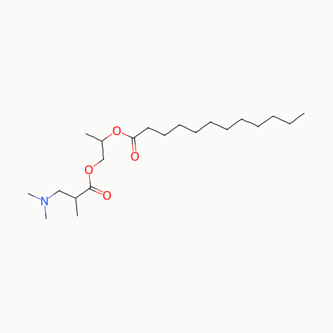 CCCCCCCCCCCC(=O)OC(C)COC(=O)C(C)CN(C)C